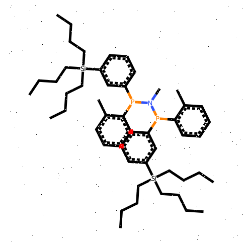 CCCC[Si](CCCC)(CCCC)c1cccc(P(c2ccccc2C)N(C)P(c2cccc([Si](CCCC)(CCCC)CCCC)c2)c2ccccc2C)c1